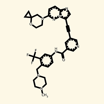 CN1CCN(Cc2ccc(NC(=O)c3cncc(C#Cc4cnc5ccc(N6CCOC7(CC7)C6)nn45)c3)cc2C(F)(F)F)CC1